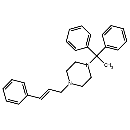 CC(c1ccccc1)(c1ccccc1)N1CCN(CC=Cc2ccccc2)CC1